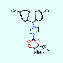 CNC(=O)C(OC(=O)N1CCN(C(c2ccc(Cl)cc2)c2ccc(Cl)cc2)CC1)C(F)(F)F